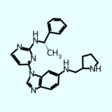 C[C@H](Nc1nccc(-n2cnc3ccc(NCC4CCCN4)cc32)n1)c1ccccc1